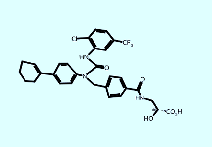 O=C(NC[C@@H](O)C(=O)O)c1ccc(CN(C(=O)Nc2cc(C(F)(F)F)ccc2Cl)c2ccc(C3=CCCCC3)cc2)cc1